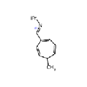 CC1C=CC=C(/C=N/C(C)C)C=C1